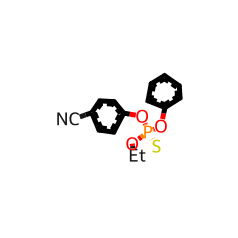 CCOP(=S)(Oc1ccccc1)Oc1ccc(C#N)cc1